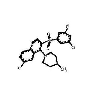 CC1CCN(c2c(S(=O)(=O)c3cc(Cl)cc(Cl)c3)cnc3ccc(Cl)cc23)CC1